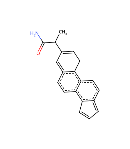 CC(C(N)=O)C1=CCc2c(ccc3c4c(ccc23)=CC=C4)=C1